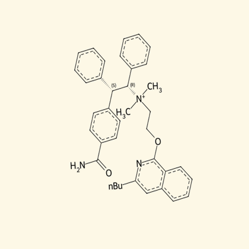 CCCCc1cc2ccccc2c(OCC[N+](C)(C)[C@@H](c2ccccc2)[C@@H](c2ccccc2)c2ccc(C(N)=O)cc2)n1